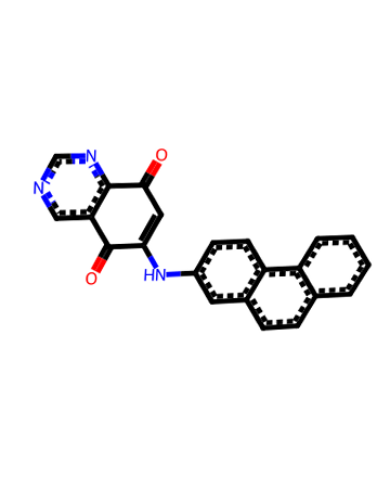 O=C1C(Nc2ccc3c(ccc4ccccc43)c2)=CC(=O)c2ncncc21